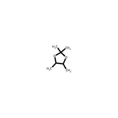 [CH2]C1OC(C)(C)OC1[CH2]